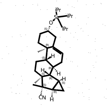 CC(C)[Si](O[C@H]1CC[C@@]2(C)C(=CC[C@H]3[C@@H]4[C@H]5C[C@H]5[C@](C)(C#N)[C@@]4(C)CC[C@@H]32)C1)(C(C)C)C(C)C